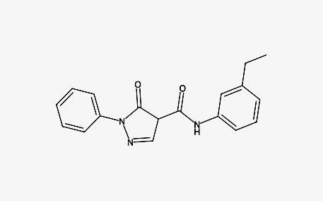 CCc1cccc(NC(=O)C2C=NN(c3ccccc3)C2=O)c1